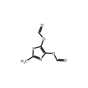 Cc1nc(OC=O)c(OC=O)s1